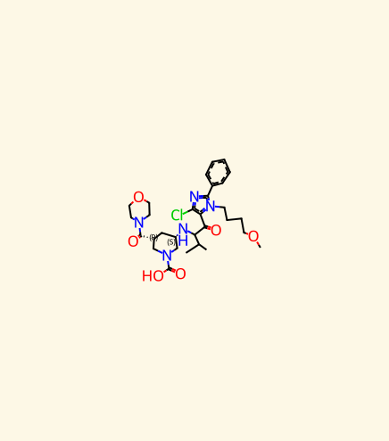 COCCCCn1c(-c2ccccc2)nc(Cl)c1C(=O)C(N[C@H]1C[C@@H](C(=O)N2CCOCC2)CN(C(=O)O)C1)C(C)C